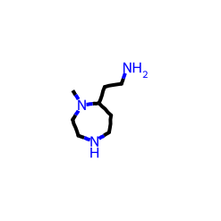 CN1CCNCCC1CCN